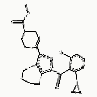 COC(=O)C1CC=C(c2nn(C(=O)c3c(Cl)cccc3C3CC3)c3c2CCCC3)CC1